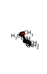 CC(C(N)=O)n1ccc2c(NC(=O)CC34CC5CC(C)(CC(C)(C5)C3)C4)cccc2c1=O